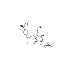 CCCCN1C(=O)[C@H](CC(C)C)NC(=O)C12CCN(Cc1ccc([S+](C)[O-])cc1)CC2.Cl